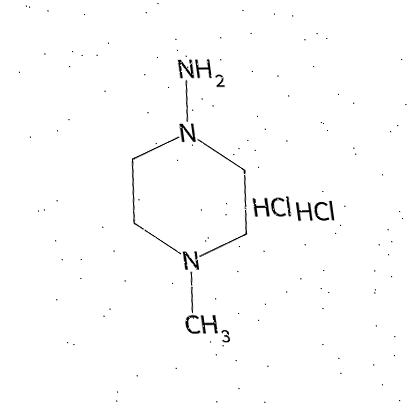 CN1CCN(N)CC1.Cl.Cl